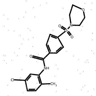 Cc1ccc(Cl)cc1NC(=O)c1ccc(S(=O)(=O)N2CCOCC2)cc1